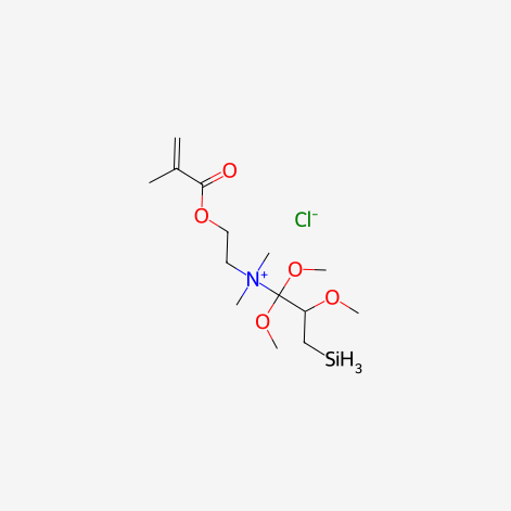 C=C(C)C(=O)OCC[N+](C)(C)C(OC)(OC)C(C[SiH3])OC.[Cl-]